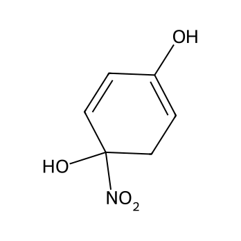 O=[N+]([O-])C1(O)C=CC(O)=CC1